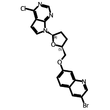 Clc1ncnc2c1ccn2[C@H]1CC[C@@H](COc2ccc3cc(Br)cnc3c2)O1